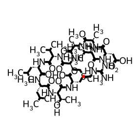 CSCC[C@H](NC(=O)[C@H](C)NC(=O)[C@H](C)NC(=O)[C@H](CC(=O)O)NC(=O)[C@@H](N)C(C)C)C(=O)N[C@H](C(=O)N[C@@H](CC(C)C)C(=O)N[C@@H](CC(C)C)C(=O)N[C@H](C(=O)N[C@@H](CCCNC(=N)N)C(=O)O)[C@@H](C)O)C(C)C